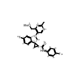 COCc1nc(C)ncc1OC[C@@]1(c2ccc(F)cc2)C[C@H]1C(=O)Nc1ccc(F)cc1